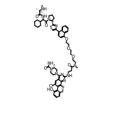 CN[C@@H](C)C(=O)NC(C(=O)N1CCC[C@H]1c1nc(-c2ccc(OCCOCCOCCN(C)C(=O)CCNc3nc(N4CCN(C(N)=O)CC4)c4cc(Cl)c(-c5c(O)cccc5F)c(F)c4n3)c3ccccc23)cs1)C1CCCCC1